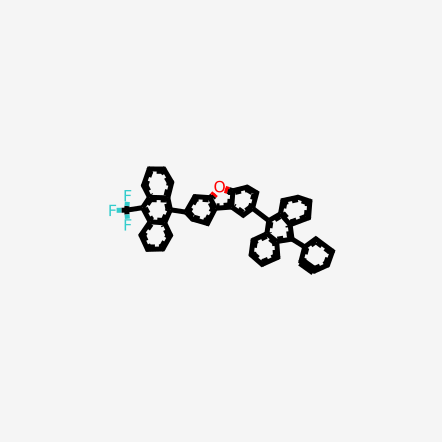 FC(F)(F)c1c2ccccc2c(-c2ccc3c(c2)oc2ccc(-c4c5ccccc5c(-c5c#cccc5)c5ccccc45)cc23)c2ccccc12